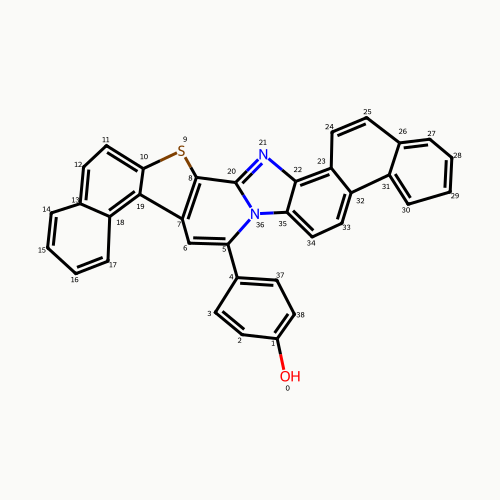 Oc1ccc(-c2cc3c(sc4ccc5ccccc5c43)c3nc4c5ccc6ccccc6c5ccc4n23)cc1